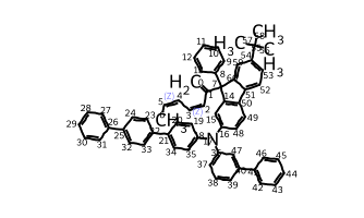 C=C(/C=C\C=C/C)C1(c2ccccc2)c2cc(N(c3ccc(-c4ccc(-c5ccccc5)cc4)cc3)c3cccc(-c4ccccc4)c3)ccc2-c2ccc(C(C)(C)C)cc21